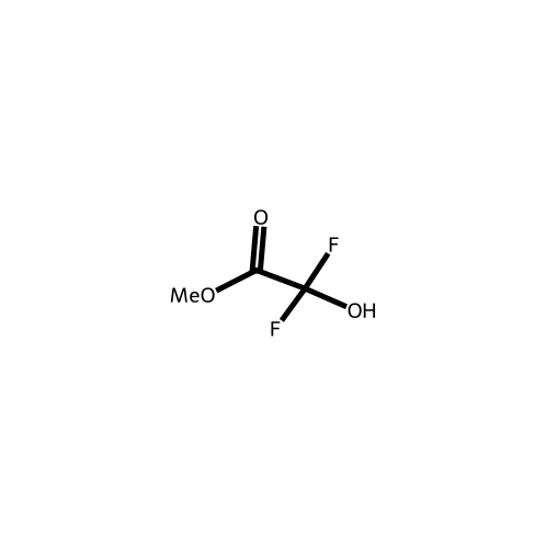 COC(=O)C(O)(F)F